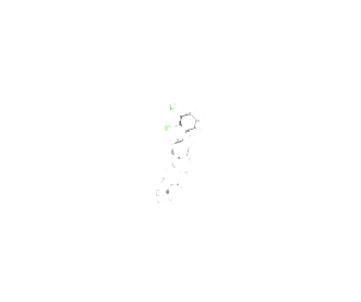 CC[C@H]1CC[C@H](C2C=CC(c3cccc(F)c3F)=CC2)CC1